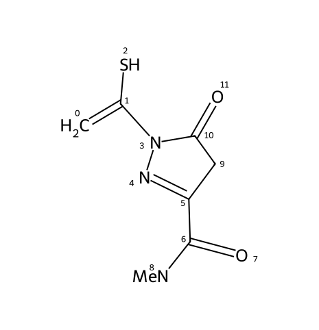 C=C(S)N1N=C(C(=O)NC)CC1=O